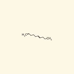 C=CCCCC=CCCC